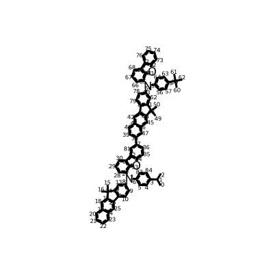 CC(C)c1ccc(N(c2ccc3c(c2)C(C)(C)c2cc4ccccc4cc2-3)c2cccc3c2oc2ccc(-c4ccc5cc6c(cc5c4)C(C)(C)c4cc(N(c5ccc(C(C)(C)C)cc5)c5cccc7c5oc5ccccc57)ccc4-6)cc23)cc1